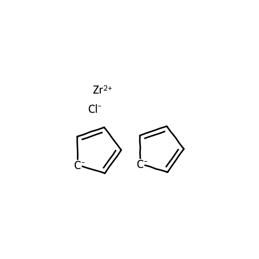 [Cl-].[Zr+2].c1cc[cH-]c1.c1cc[cH-]c1